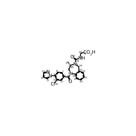 C[C@@H]1CN(C(=O)c2ccc(-n3cccn3)c(Cl)c2)c2ccccc2CN1C(=O)NCC(=O)O